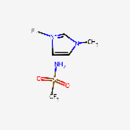 CC[n+]1ccn(C)c1.NS(=O)(=O)C(F)(F)F